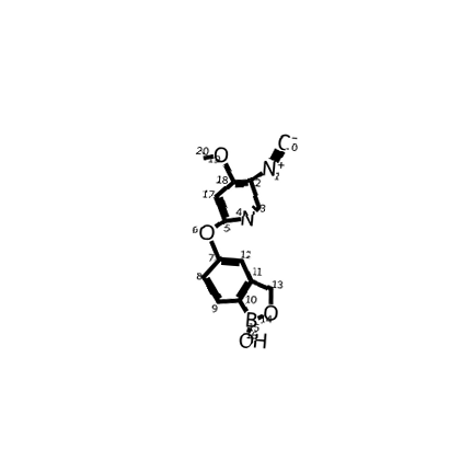 [C-]#[N+]c1cnc(Oc2ccc3c(c2)COB3O)cc1OC